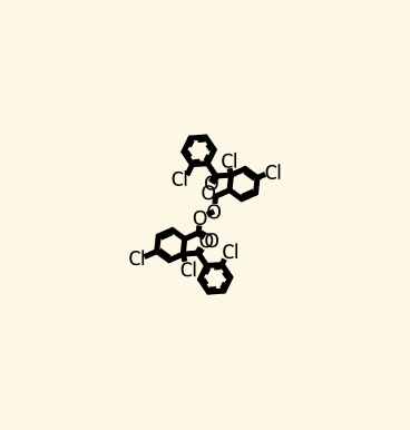 O=C(OOC(=O)C1C=CC(Cl)=CC1(Cl)C(=O)c1ccccc1Cl)C1C=CC(Cl)=CC1(Cl)C(=O)c1ccccc1Cl